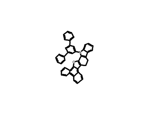 c1ccc(-c2cc(-c3ccccc3)cc(-n3c4c(c5ccccc53)CCc3c-4oc4c5ccccc5c5ccccc5c34)c2)cc1